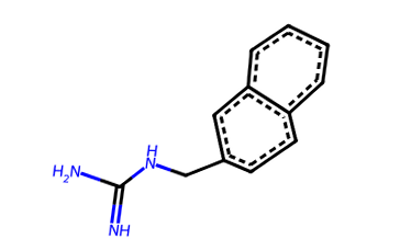 N=C(N)NCc1ccc2ccccc2c1